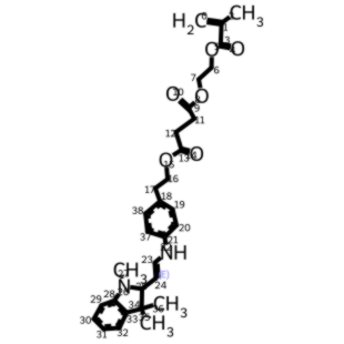 C=C(C)C(=O)OCCOC(=O)CCC(=O)OCCc1ccc(N/C=C/C2N(C)c3ccccc3C2(C)C)cc1